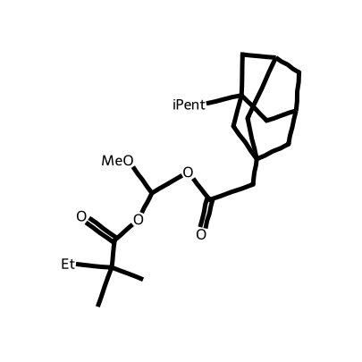 CCCC(C)C12CC3CC(CC(CC(=O)OC(OC)OC(=O)C(C)(C)CC)(C3)C1)C2